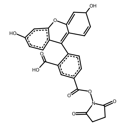 O=C(ON1C(=O)CCC1=O)c1ccc(C2=C3C=CC(O)C=C3Oc3cc(O)ccc32)c(C(=O)O)c1